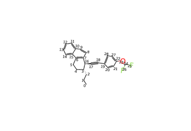 CCC[C@@H]1CCc2c(ccc3ccccc23)[C@H]1C#Cc1ccc(OC(F)F)cc1